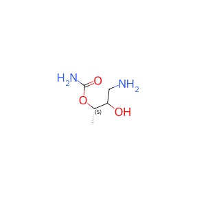 C[C@H](OC(N)=O)C(O)CN